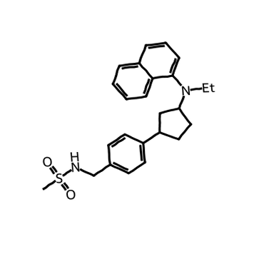 CCN(c1cccc2ccccc12)C1CCC(c2ccc(CNS(C)(=O)=O)cc2)C1